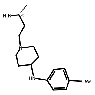 COc1ccc(NC2CCN(CC[C@@H](C)N)CC2)cc1